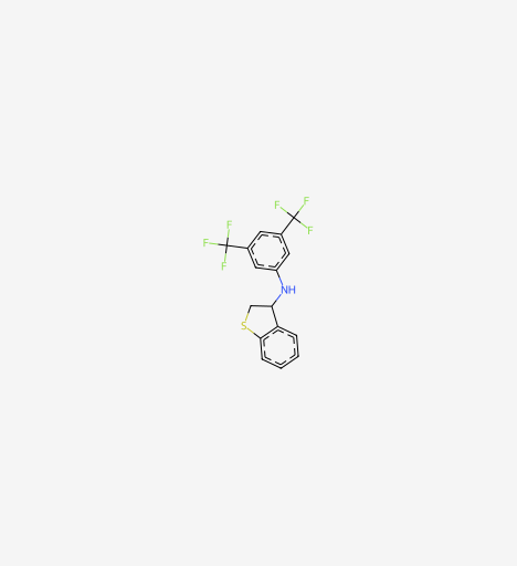 FC(F)(F)c1cc(NC2CSc3ccccc32)cc(C(F)(F)F)c1